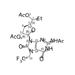 CC[C@H](OC(C)=O)[C@@H]1C[C@@H](OC(C)=O)[C@H](n2c(=O)n(CC(F)(F)F)c3c(=O)[nH]c(NC(C)=O)nc32)O1